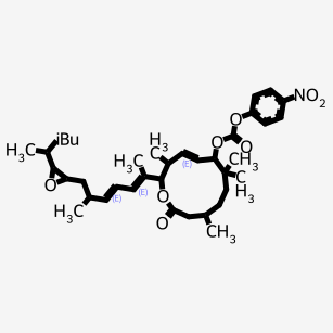 CCC(C)C(C)C1OC1CC(C)/C=C/C=C(\C)C1OC(=O)CC(C)CCC(C)(C)C(OC(=O)Oc2ccc([N+](=O)[O-])cc2)/C=C/C1C